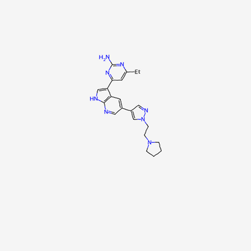 CCc1cc(-c2c[nH]c3ncc(-c4cnn(CCN5CCCC5)c4)cc23)nc(N)n1